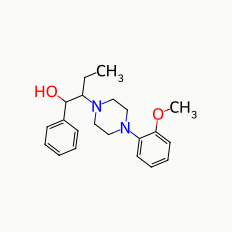 CCC(C(O)c1ccccc1)N1CCN(c2ccccc2OC)CC1